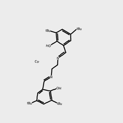 CC(C)(C)c1cc(C=NCCN=Cc2cc(C(C)(C)C)cc(C(C)(C)C)c2O)c(O)c(C(C)(C)C)c1.[Co]